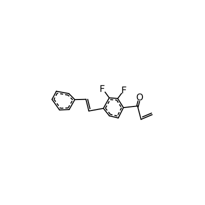 C=CC(=O)c1ccc(C=Cc2ccccc2)c(F)c1F